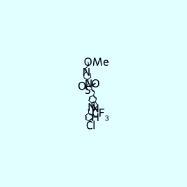 COCCN1CCC(N2C(=O)S/C(=C\c3ccc4c(c3)CNN4Cc3ccc(Cl)cc3C(F)(F)F)C2=O)CC1